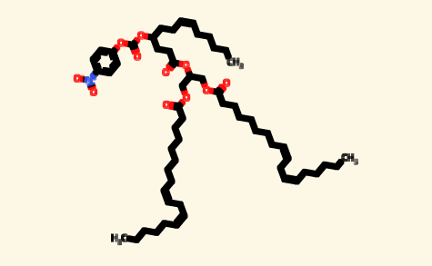 CCCCC/C=C\C/C=C\CCCCCCCC(=O)OCC(COC(=O)CCCCCCC/C=C\C/C=C\CCCCC)OC(=O)CCC(CC/C=C\CCCCC)OC(=O)Oc1ccc([N+](=O)[O-])cc1